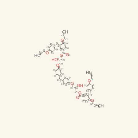 C#CCOc1ccc(Cc2cc(C(=O)OCC(O)COc3ccc(Cc4ccc(OCC(O)COC(=O)c5ccc(OCC#C)c(Cc6ccc(OCC#C)cc6)c5)cc4)cc3)ccc2OCC#C)cc1